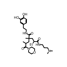 CCC(CC(C)(CC(C)C(=O)N1CCOCC1)C(=O)NCCc1ccc(O)c(O)c1)C(=O)NCCCN(C)C